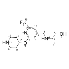 C[C@@H](CO)NCc1cc(OC2CCNCC2)nc(C(F)(F)F)c1